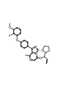 C=CC(O)N1CCC[C@H]1c1nc(-c2ccc(Oc3cccc(OC)c3F)cc2)c2c(C)nccn12